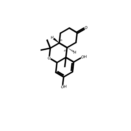 CC1(C)OC2C=C(O)C=C(O)C2(C)[C@@H]2CC(=O)CC[C@H]21